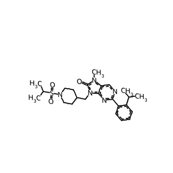 CC(C)c1ccccc1-c1ncc2c(n1)n(CC1CCN(S(=O)(=O)C(C)C)CC1)c(=O)n2C